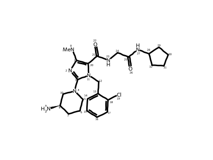 CNc1nc(N2CCC[C@@H](N)C2)n(Cc2ccccc2Cl)c1C(=O)NCC(=O)NC1CCCC1